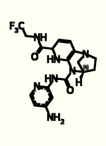 Nc1ccnc(NC(=O)N2C3=C(C=CC(C(=O)NCC(F)(F)F)N3)N3CC[C@H]2C3)c1